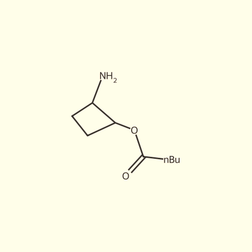 CCCCC(=O)OC1CCC1N